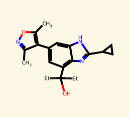 CCC(O)(CC)c1cc(-c2c(C)noc2C)cc2[nH]c(C3CC3)nc12